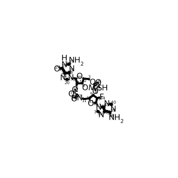 COC1C2COP(=O)(S)OC3C(CNS(=O)(=O)OC1C(n1cnc4c(=O)[nH]c(N)nc41)O2)OC(n1cnc2c(N)ncnc21)C3F